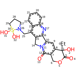 CCC1(O)C(=O)OCc2c1cc1n(c2=O)Cc2c-1nc1ccccc1c2CN1CCCS1(O)O